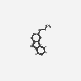 CCOc1cc2c(cn1)[nH]c1ccccc12